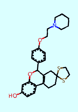 Oc1ccc2c(c1)OC(c1ccc(OCCN3CCCCC3)cc1)C1=C2CCC2(C1)SCCS2